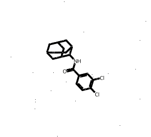 O=C(NC1C2CC3CC(C2)CC1C3)c1ccc(Cl)c(Cl)c1